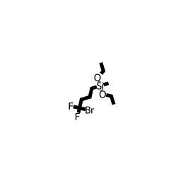 CCO[Si](C)(CCCC(F)(F)Br)OCC